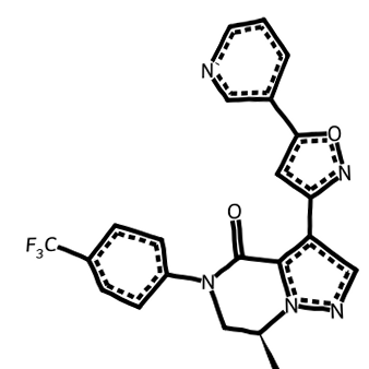 C[C@H]1CN(c2ccc(C(F)(F)F)cc2)C(=O)c2c(-c3cc(-c4cccnc4)on3)cnn21